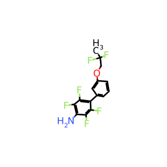 CC(F)(F)COc1cccc(-c2c(F)c(F)c(N)c(F)c2F)c1